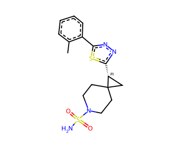 Cc1ccccc1-c1nnc([C@@H]2CC23CCN(S(N)(=O)=O)CC3)s1